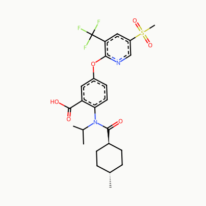 CC(C)N(c1ccc(Oc2ncc(S(C)(=O)=O)cc2C(F)(F)F)cc1C(=O)O)C(=O)[C@H]1CC[C@H](C)CC1